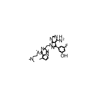 Cc1ccn2nc(Cn3nc(-c4cc(O)cc(F)c4)c4c(N)ncnc43)nc([As](C)CCN(C)C)c12